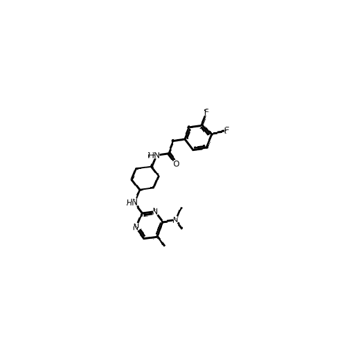 Cc1cnc(NC2CCC(NC(=O)Cc3ccc(F)c(F)c3)CC2)nc1N(C)C